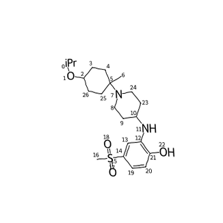 CC(C)OC1CCC(C)(N2CCC(Nc3cc(S(C)(=O)=O)ccc3O)CC2)CC1